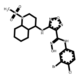 CS(=O)(=O)N1CCC(Nc2nonc2/C(=N/O)Nc2ccc(Cl)c(Br)c2)C2CCCCC21